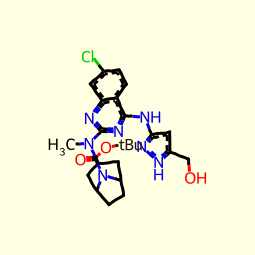 CN(c1nc(Nc2cc(CO)[nH]n2)c2ccc(Cl)cc2n1)C1CC2CCC(C1)N2C(=O)OC(C)(C)C